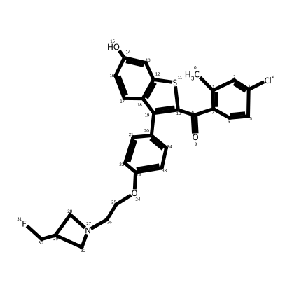 Cc1cc(Cl)ccc1C(=O)c1sc2cc(O)ccc2c1-c1ccc(OCCN2CC(CF)C2)cc1